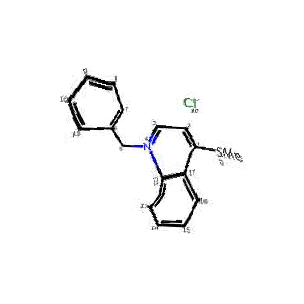 CSc1cc[n+](Cc2ccccc2)c2ccccc12.[Cl-]